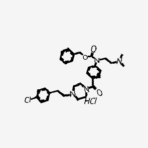 CN(C)CCN(C(=O)OCc1ccccc1)c1ccc(C(=O)N2CCN(CCc3ccc(Cl)cc3)CC2)cc1.Cl